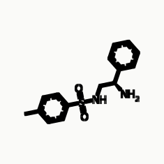 Cc1ccc(S(=O)(=O)NC[C@H](N)c2ccccc2)cc1